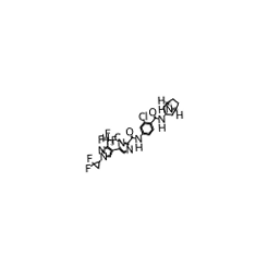 Cn1c(-c2cn(C3CC3(F)F)nc2C(F)(F)F)cnc1C(=O)Nc1ccc(C(=O)NC2C[C@H]3CC[C@@H](C2)N3)c(Cl)c1